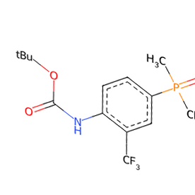 CC(C)(C)OC(=O)Nc1ccc(P(C)(C)=O)cc1C(F)(F)F